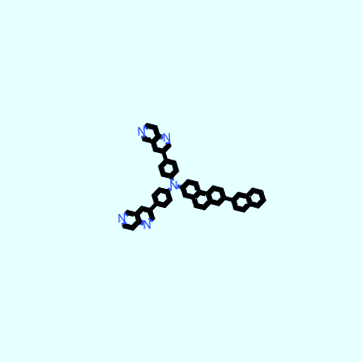 c1ccc2cc(-c3ccc4c(ccc5cc(N(c6ccc(-c7cnc8ccncc8c7)cc6)c6ccc(-c7cnc8ccncc8c7)cc6)ccc54)c3)ccc2c1